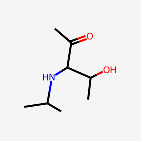 CC(=O)C(NC(C)C)C(C)O